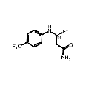 CC[C@@H](CC(N)=O)Nc1ccc(C(F)(F)F)cc1